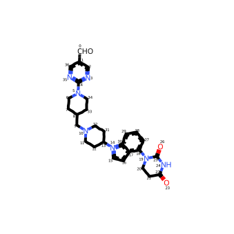 O=Cc1cnc(N2CCC(CN3CCC(n4ccc5c(N6CCC(=O)NC6=O)cccc54)CC3)CC2)nc1